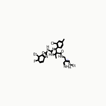 CCN/C=C(\C=N)CNC(=O)C1=C(C)NC(Nc2nc3ccc(F)c(CC)c3o2)=NC1c1ccc(C)cc1Cl